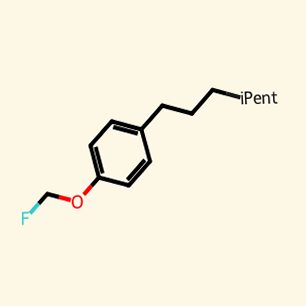 CCCC(C)CCCc1ccc(OCF)cc1